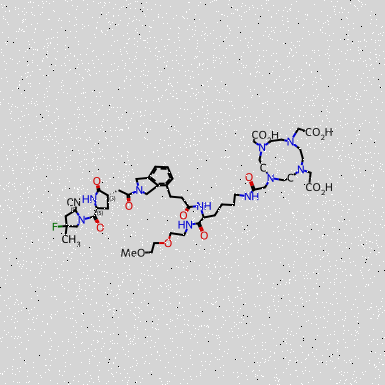 COCCOCCNC(=O)C(CCCCNC(=O)CN1CCN(CC(=O)O)CCN(CC(=O)O)CCN(CC(=O)O)CC1)NC(=O)CCc1cccc2c1CN(C(=O)C[C@@H]1C[C@@H](C(=O)N3CC(C)(F)C[C@H]3C#N)NC1=O)C2